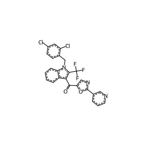 O=C(c1cnc(-c2cccnc2)o1)c1c(C(F)(F)F)n(Cc2ccc(Cl)cc2Cl)c2ccccc12